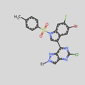 CCn1cc2nc(Cl)nc(-c3cn(S(=O)(=O)c4ccc(C)cc4)c4cc(F)c(Br)cc34)c2n1